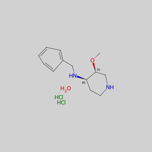 CO[C@H]1CNCC[C@H]1NCc1ccccc1.Cl.Cl.O